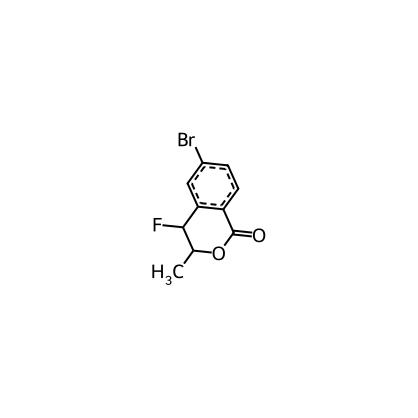 CC1OC(=O)c2ccc(Br)cc2C1F